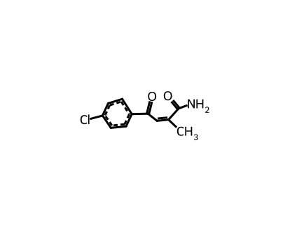 CC(=CC(=O)c1ccc(Cl)cc1)C(N)=O